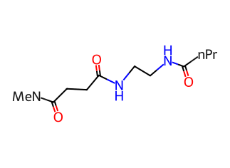 CCCC(=O)NCCNC(=O)CCC(=O)NC